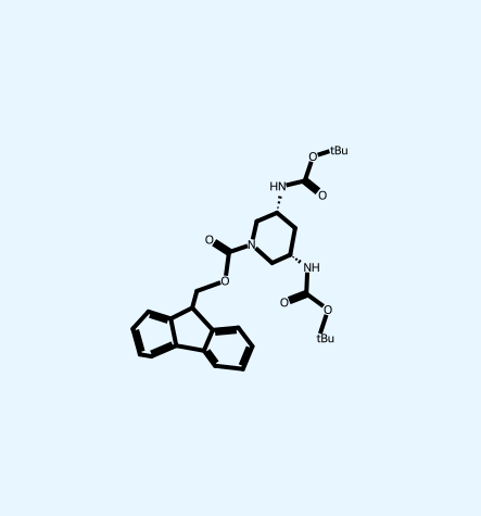 CC(C)(C)OC(=O)N[C@@H]1C[C@H](NC(=O)OC(C)(C)C)CN(C(=O)OCC2c3ccccc3-c3ccccc32)C1